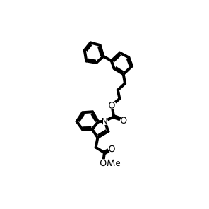 COC(=O)Cc1cn(C(=O)OCCCc2cccc(-c3ccccc3)c2)c2ccccc12